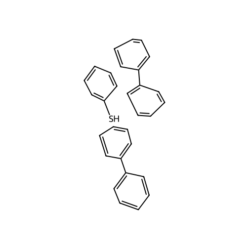 Sc1ccccc1.c1ccc(-c2ccccc2)cc1.c1ccc(-c2ccccc2)cc1